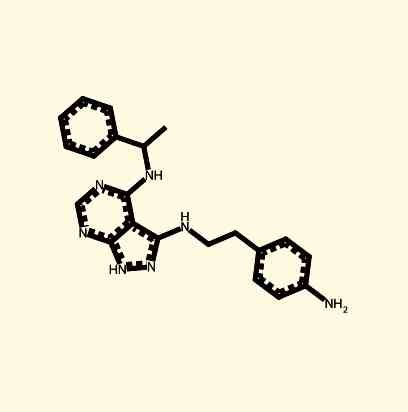 CC(Nc1ncnc2[nH]nc(NCCc3ccc(N)cc3)c12)c1ccccc1